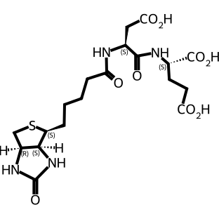 O=C(O)CC[C@H](NC(=O)[C@H](CC(=O)O)NC(=O)CCCC[C@@H]1SC[C@@H]2NC(=O)N[C@@H]21)C(=O)O